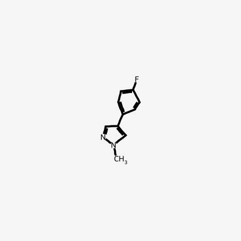 Cn1cc(-c2ccc(F)cc2)cn1